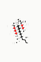 CCCC(OP(O)O)C(OP(O)O)(OP(O)O)C(OP(O)O)(OP(O)O)C(OP(O)O)(OP(O)O)C(OP(O)O)(OP(O)O)C(OP(O)O)(OP(O)O)OP(O)O